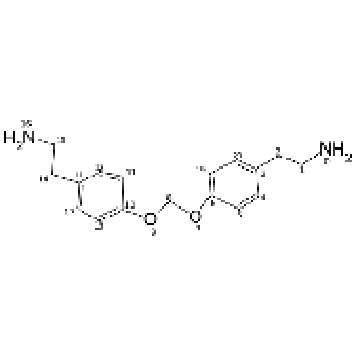 NCCc1ccc(OCOc2ccc(CCN)cc2)cc1